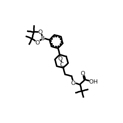 CC(C)(C)C(OCCC12CCC(c3cccc(B4OC(C)(C)C(C)(C)O4)c3)(CC1)OC2)C(=O)O